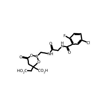 O=C(O)CC1(C(=O)O)CC(=O)OB(CNC(=O)CNC(=O)c2cc(Cl)ccc2F)O1